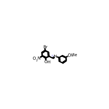 COc1cccc(/N=C/c2cc(Br)cc([N+](=O)[O-])c2O)c1